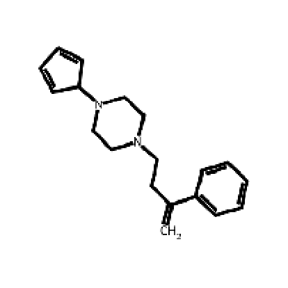 C=C(CCN1CCN(C2C=CC=C2)CC1)c1ccccc1